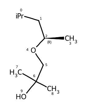 CC(C)C[C@@H](C)OCC(C)(C)O